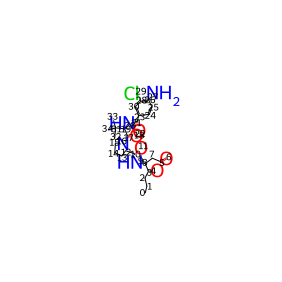 CCCC1OC(=O)CC1NC(=O)C1CCCN1C(=O)C(NC(=O)c1ccc(N)c(Cl)c1)C(C)(C)C